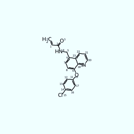 C=CC(=O)NCc1ccc(Oc2ccc(Cl)cc2)c2ncccc12